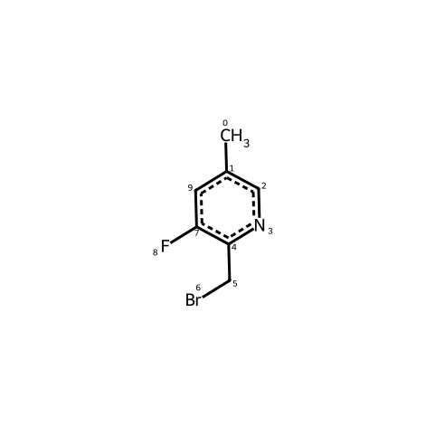 Cc1cnc(CBr)c(F)c1